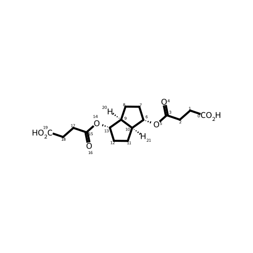 O=C(O)CCC(=O)O[C@H]1CC[C@H]2[C@@H]1CC[C@@H]2OC(=O)CCC(=O)O